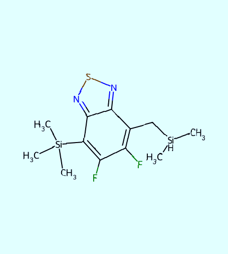 C[SiH](C)Cc1c(F)c(F)c([Si](C)(C)C)c2nsnc12